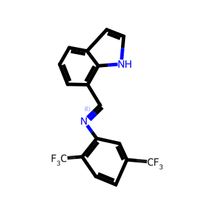 FC(F)(F)c1ccc(C(F)(F)F)c(/N=C/c2cccc3cc[nH]c23)c1